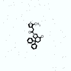 Cc1sccc1CC(=O)N1CC2C(=O)CCC(c3ccccc3)(c3ccccc3)C2C1